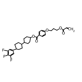 C=CC(=O)OCCCOc1ccc(C(=O)OC2CCC(C3CCC(c4cc(F)c(F)c(F)c4)CC3)CC2)cc1